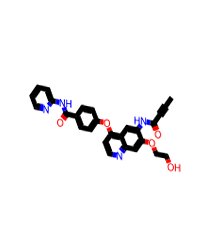 CC#CC(=O)Nc1cc2c(Oc3ccc(C(=O)Nc4ccccn4)cc3)ccnc2cc1OCCO